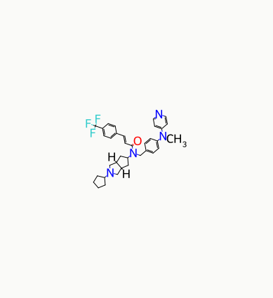 CN(c1ccncc1)c1ccc(CN(C(=O)/C=C/c2ccc(C(F)(F)F)cc2)C2C[C@@H]3CN(C4CCCC4)C[C@@H]3C2)cc1